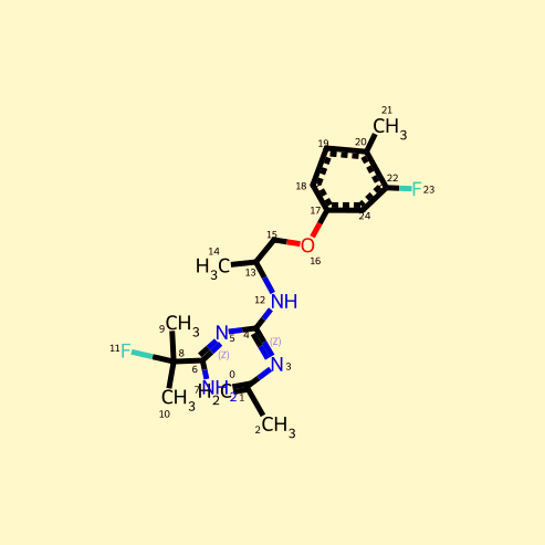 C=C(C)/N=C(\N=C(/N)C(C)(C)F)NC(C)COc1ccc(C)c(F)c1